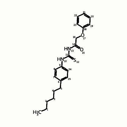 CCCCCCc1ccc(NC(=S)NC(=O)COc2ccccc2)cc1